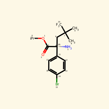 CC(C)OC(=O)[C@@](N)(CC(C)(C)C(F)(F)F)c1ccc(Br)cc1